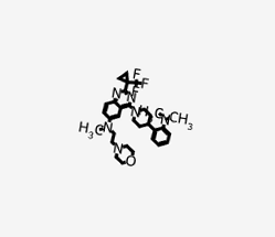 CN(C)c1ccccc1C1CCN(c2nc(C3(C(F)(F)F)CC3)nc3ccc(N(C)CCN4CCOCC4)cc23)CC1